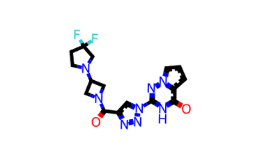 O=C(c1cn(-c2nn3cccc3c(=O)[nH]2)nn1)N1CC(N2CCC(F)(F)C2)C1